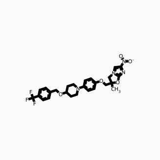 CC1(COc2ccc(N3CCC(OCc4ccc(C(F)(F)F)cc4)CC3)cc2)Cn2cc([N+](=O)[O-])nc2O1